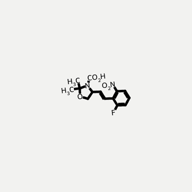 CC1(C)OCC(C=Cc2c(F)cccc2[N+](=O)[O-])N1C(=O)O